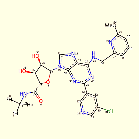 [2H]C([2H])([2H])NC(=O)[C@H]1O[C@@H](n2cnc3c(NCc4cccc(OC)n4)nc(-c4cncc(Cl)c4)nc32)[C@H](O)[C@@H]1O